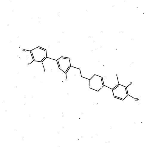 Oc1ccc(C2=CCC(CCc3ccc(-c4ccc(O)c(F)c4F)cc3F)CC2)c(F)c1F